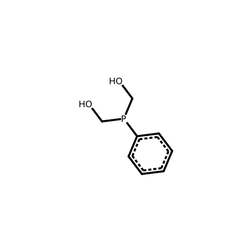 OCP(CO)c1ccccc1